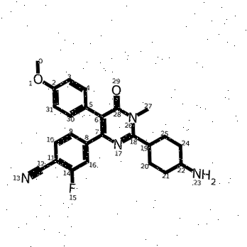 COc1ccc(-c2c(-c3ccc(C#N)c(F)c3)nc(C3CCC(N)CC3)n(C)c2=O)cc1